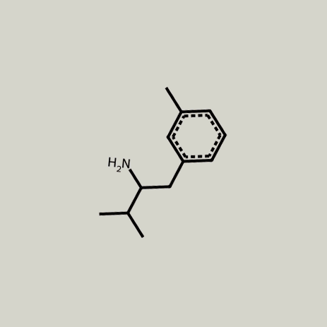 Cc1cccc(CC(N)C(C)C)c1